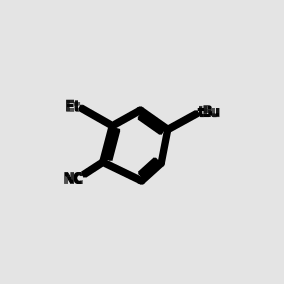 CCc1cc(C(C)(C)C)ccc1C#N